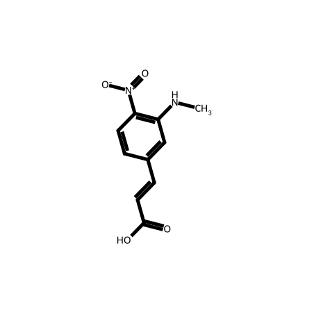 CNc1cc(C=CC(=O)O)ccc1[N+](=O)[O-]